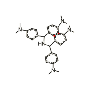 CN(C)c1ccc(C(NC(c2ccc(N(C)C)cc2)c2ccc(N(C)C)cc2)c2ccc(N(C)C)cc2)cc1